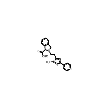 Cn1nc(-c2ccncc2)nc1CCN1Cc2ccccc2C1C(=O)C=O